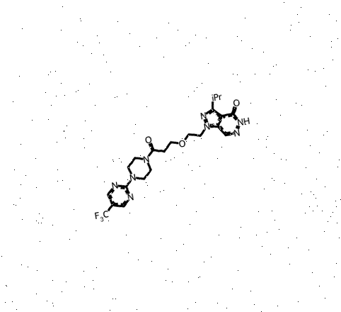 CC(C)c1nn(CCOCCC(=O)N2CCN(c3ncc(C(F)(F)F)cn3)CC2)c2cn[nH]c(=O)c12